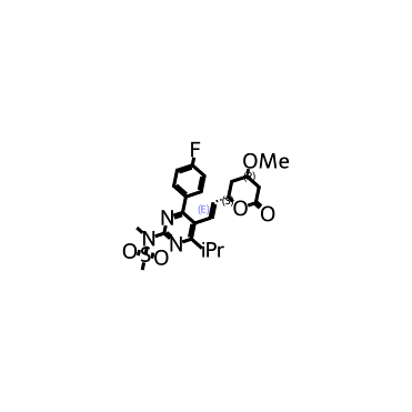 CO[C@H]1CC(=O)O[C@H](/C=C/c2c(-c3ccc(F)cc3)nc(N(C)S(C)(=O)=O)nc2C(C)C)C1